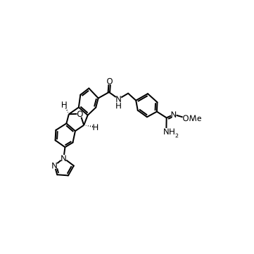 CON=C(N)c1ccc(CNC(=O)c2ccc3c(c2)[C@@H]2O[C@H]3c3ccc(-n4cccn4)cc32)cc1